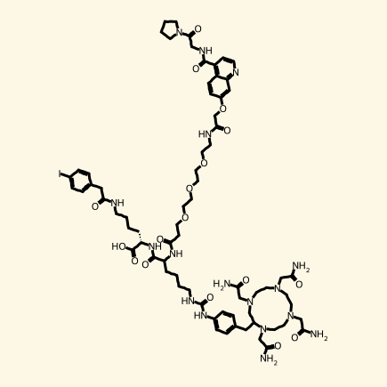 NC(=O)CN1CCN(CC(N)=O)CCN(CC(N)=O)C(Cc2ccc(NC(=O)NCCCCC(NC(=O)CCOCCOCCOCCNC(=O)COc3ccc4c(C(=O)NCC(=O)N5CCCC5)ccnc4c3)C(=O)N[C@@H](CCCCNC(=O)Cc3ccc(I)cc3)C(=O)O)cc2)CN(CC(N)=O)CC1